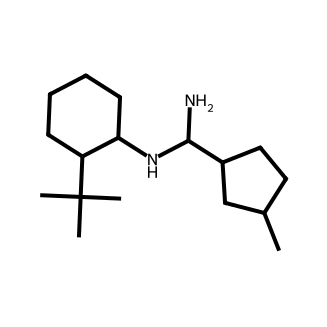 CC1CCC(C(N)NC2CCCCC2C(C)(C)C)C1